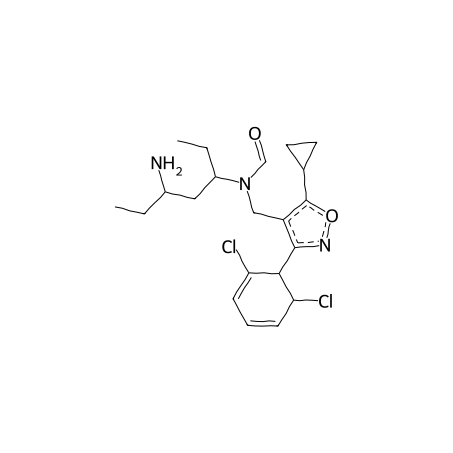 CCC(N)CC(CC)N(C=O)Cc1c(C2C(Cl)=CC=CC2Cl)noc1C1CC1